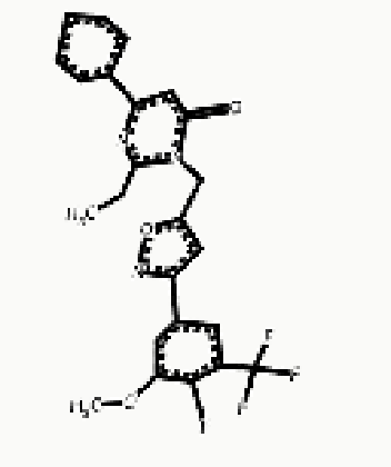 CCc1nc(-c2ccccc2)cc(=O)n1Cc1cc(-c2cc(OC)c(F)c(C(F)(F)F)c2)no1